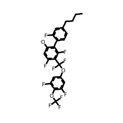 CCCCc1ccc(-c2c([O])cc(F)c(C(F)(F)Oc3cc(F)c(OC(F)(F)F)c(F)c3)c2F)c(F)c1